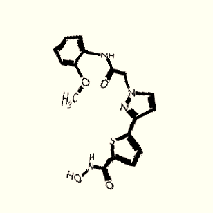 COc1ccccc1NC(=O)Cn1ccc(-c2ccc(C(=O)NO)s2)n1